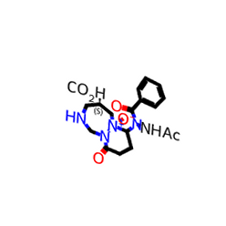 CC(=O)NN(C(=O)c1ccccc1)C1CCC(=O)N2CNC[C@H](C(=O)O)C[N+]12[O-]